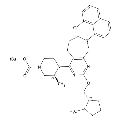 C[C@H]1CN(C(=O)OC(C)(C)C)CCN1c1nc(OC[C@@H]2CCCN2C)nc2c1CCCN(c1cccc3cccc(Cl)c13)C2